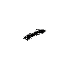 CCCC1CCC2CC(OC(=O)C3CCC(C4CCC(COc5ccc(OCC)c(F)c5F)CC4)CC3)CCC2C1